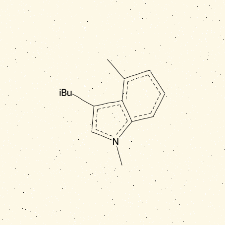 CCC(C)c1cn(C)c2cccc(C)c12